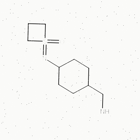 NCC1CCC(N=S2(=O)CCC2)CC1